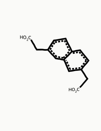 O=C(O)Cc1ccc2ccc(CC(=O)O)cc2c1